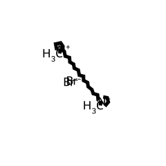 C[N+]1(CCCCCCCCCCCCCCCC[N+]2(C)CCCC2)CCCC1.[Br-].[Br-]